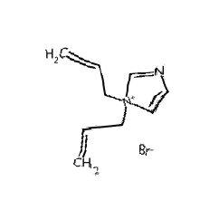 C=CC[N+]1(CC=C)C=CN=C1.[Br-]